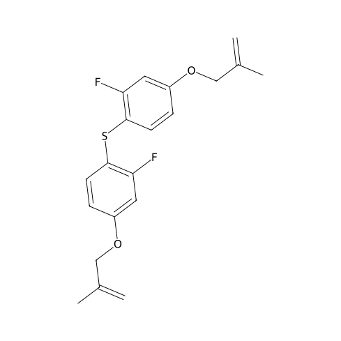 C=C(C)COc1ccc(Sc2ccc(OCC(=C)C)cc2F)c(F)c1